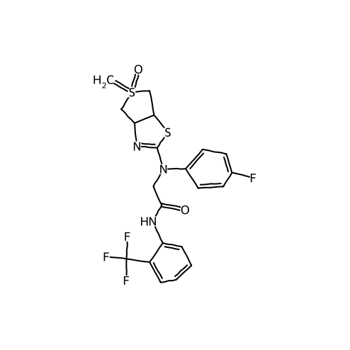 C=S1(=O)CC2N=C(N(CC(=O)Nc3ccccc3C(F)(F)F)c3ccc(F)cc3)SC2C1